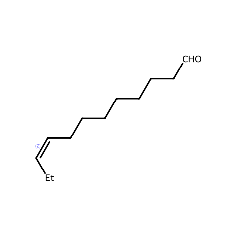 CC/C=C\CCCCCCCC=O